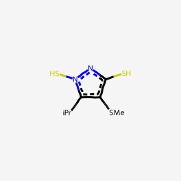 CSc1c(S)nn(S)c1C(C)C